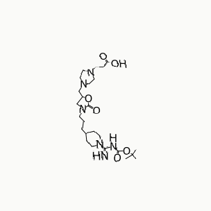 CC(C)(C)OC(=O)NC(=N)N1CCC(CCCN2CC(CN3CCN(CCC(=O)O)CC3)OC2=O)CC1